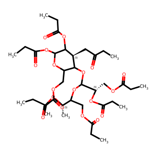 CCC(=O)C[C@H]1C(OC(OC(COC(=O)CC)[C@H](C)OC(=O)CC)[C@H](COC(=O)CC)OC(=O)CC)C(COC(=O)CC)OC(OC(=O)CC)C1OC(=O)CC